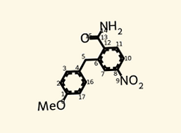 COc1ccc(Cc2cc([N+](=O)[O-])ccc2C(N)=O)cc1